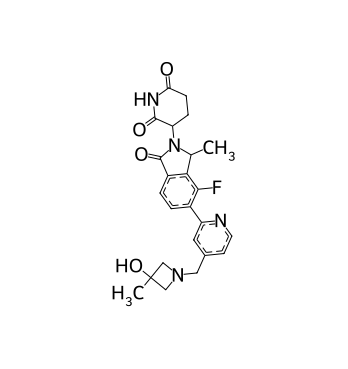 CC1c2c(ccc(-c3cc(CN4CC(C)(O)C4)ccn3)c2F)C(=O)N1C1CCC(=O)NC1=O